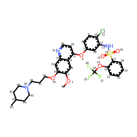 COc1cc2c(Oc3ccc(Cl)c(NS(=O)(=O)c4ccccc4OC(F)(F)F)c3)ccnc2cc1OCCCN1CCC(C)CC1